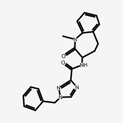 CN1C(=O)C(NC(=O)c2ncn(Cc3ccccc3)n2)CCc2ccccc21